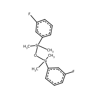 C[Si](C)(O[Si](C)(C)c1cccc(F)c1)c1cccc(F)c1